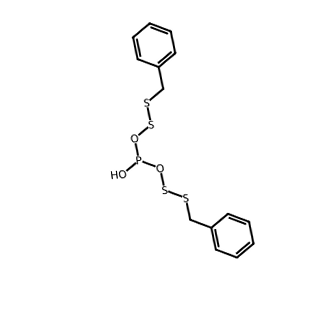 OP(OSSCc1ccccc1)OSSCc1ccccc1